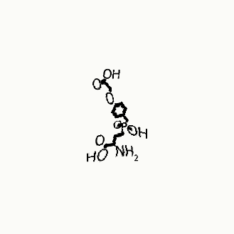 N[C@@H](CCP(=O)(O)Cc1ccc(OCC(=O)O)cc1)C(=O)O